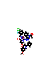 COc1ccc2c(O[C@@H]3C[C@@H](C(=O)NCc4cccc(Cl)c4F)N(C(=O)Nc4cn(C(C)O)c5ccccc45)C3)cc(-c3ccccc3)nc2c1